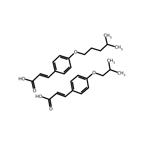 CC(C)CCCOc1ccc(C=CC(=O)O)cc1.CC(C)COc1ccc(C=CC(=O)O)cc1